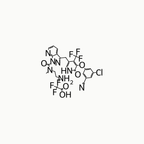 CN(CCN)C(=O)n1nc(Cc2c[nH]c(=O)c(Oc3cc(Cl)cc(C#N)c3)c2C(F)(F)F)c2cccnc21.O=C(O)C(F)(F)F